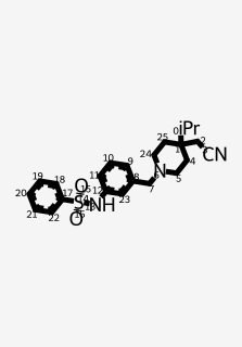 CC(C)C1(CC#N)CCN(Cc2cccc(NS(=O)(=O)c3ccccc3)c2)CC1